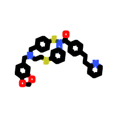 O=C(NSc1ccc(CN(CCSc2ccccc2)Cc2ccc3c(c2)OCO3)cc1)c1ccc(CCc2ccccn2)cc1